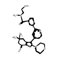 CN(CCN)C(=O)c1cccc(-c2cc(-c3c(N4CCOCC4)sc4c3CC(C)(C)CC4=O)ccn2)c1